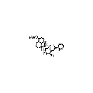 CCC(CC)[C@@H]1C[C@H](c2ccccc2F)CCN1C(=O)[C@H](CC)[C@]1(CC)CCCc2c(OC)ccc(F)c21